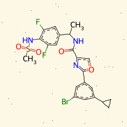 CC(NC(=O)c1coc(-c2cc(Br)cc(C3CC3)c2)n1)c1cc(F)c(NS(C)(=O)=O)c(F)c1